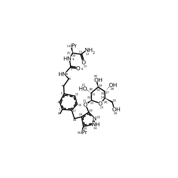 Cc1cc(CCNC(=O)N[C@H](C(N)=O)C(C)C)ccc1Cc1c(O[C@@H]2O[C@H](CO)[C@@H](O)[C@H](O)[C@H]2O)n[nH]c1C(C)C